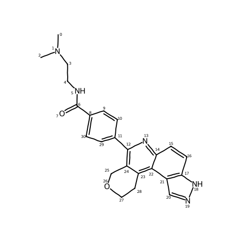 CN(C)CCNC(=O)c1ccc(-c2nc3ccc4[nH]ncc4c3c3c2COCC3)cc1